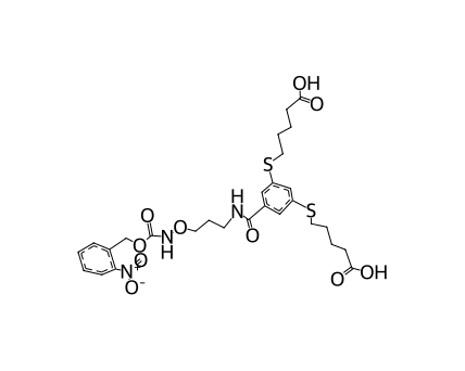 O=C(O)CCCCSc1cc(SCCCCC(=O)O)cc(C(=O)NCCCONC(=O)OCc2ccccc2[N+](=O)[O-])c1